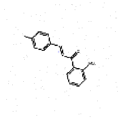 O=C(/C=C/c1ccc(F)cc1)c1ccccc1[N+](=O)[O-]